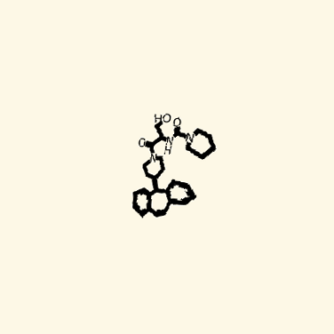 O=C(NC(CO)C(=O)N1CCC(=C2c3ccccc3C=Cc3ccccc32)CC1)N1CCCCC1